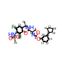 C[C@@H](NC(=O)C1COC(Oc2cccc(C3CCCC3)c2)=N1)c1cc(F)c(NS(C)(=O)=O)c(F)c1